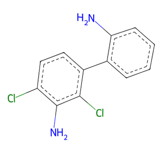 Nc1ccccc1-c1ccc(Cl)c(N)c1Cl